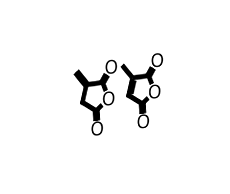 C=C1CC(=O)OC1=O.CC1=CC(=O)OC1=O